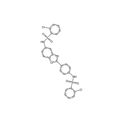 O=S(=O)(Nc1ccc(-c2nc3cc(NS(=O)(=O)c4ccccc4Cl)ccc3o2)cc1)c1ccccc1Cl